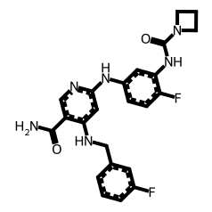 NC(=O)c1cnc(Nc2ccc(F)c(NC(=O)N3CCC3)c2)cc1NCc1cccc(F)c1